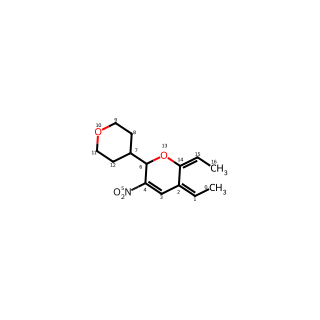 C/C=C1/C=C([N+](=O)[O-])C(C2CCOCC2)O/C1=C/C